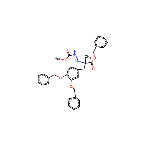 CC(C)(C)OC(=O)NNC(C)(Cc1ccc(OCc2ccccc2)c(OCc2ccccc2)c1)C(=O)OCc1ccccc1